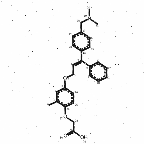 Cc1cc(OC/C=C(\c2ccccc2)c2ccc(CN(C)C)cc2)ccc1OCC(=O)O